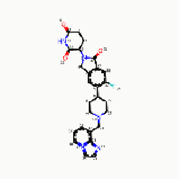 O=C1CCC(N2Cc3cc(C4CCN(Cc5cccn6ccnc56)CC4)c(F)cc3C2=O)C(=O)N1